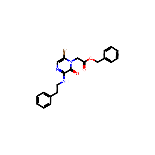 O=C(Cn1c(Br)cnc(NCCc2ccccc2)c1=O)OCc1ccccc1